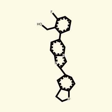 OCc1c(F)cccc1-c1ccc2nc(-c3ccc4c(c3)CCO4)cn2c1